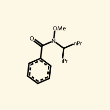 CCCC(C(C)C)N(OC)C(=O)c1ccccc1